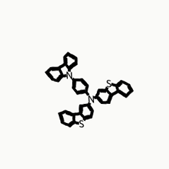 c1ccc2c(c1)sc1cc(N(c3ccc(-n4c5ccccc5c5ccccc54)cc3)c3ccc4sc5ccccc5c4c3)ccc12